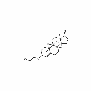 C[C@]12CCC(OCCO)C=C1CC[C@@H]1[C@H]2CC[C@]2(C)C(=O)CC[C@@H]12